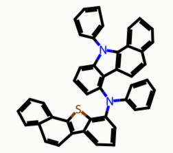 c1ccc(N(c2cccc3c2sc2c4ccccc4ccc32)c2cccc3c2c2ccc4ccccc4c2n3-c2ccccc2)cc1